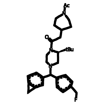 CC(=O)N1CCC(CC(=O)N2CCN(C(c3ccc(CF)cc3)c3ccc4c(c3)C4)C[C@@H]2C(C)(C)C)CC1